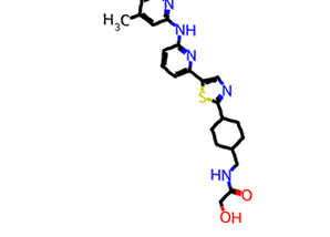 Cc1ccnc(Nc2cccc(-c3cnc(C4CCC(CNC(=O)CO)CC4)s3)n2)c1